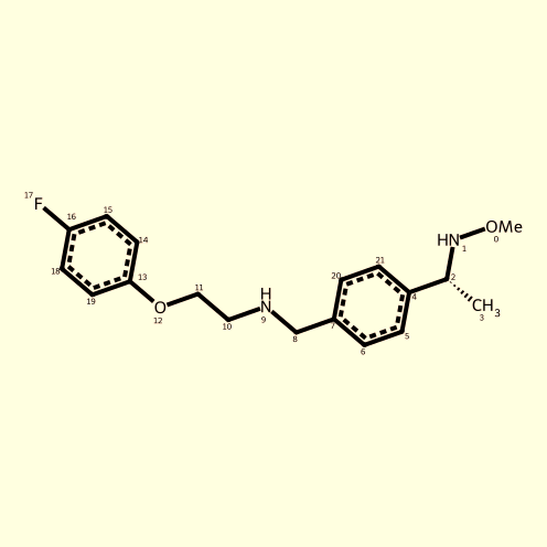 CON[C@H](C)c1ccc(CNCCOc2ccc(F)cc2)cc1